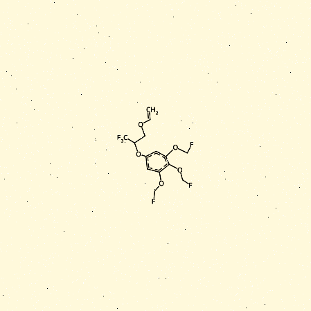 C=COCC(Oc1cc(OCF)c(OCF)c(OCF)c1)C(F)(F)F